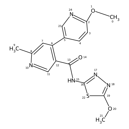 COc1ccc(-c2cc(C)ncc2C(=O)Nc2nnc(OC)s2)cn1